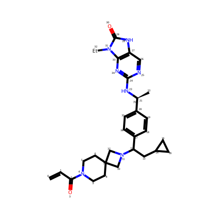 C=CC(=O)N1CCC2(CC1)CN(C(CC1CC1)c1ccc([C@H](C)Nc3ncc4[nH]c(=O)n(CC)c4n3)cc1)C2